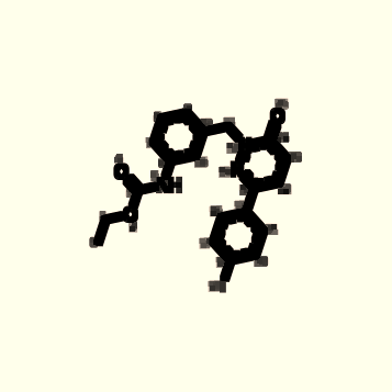 CCOC(=O)Nc1cccc(Cn2nc(-c3ccc(I)cc3)ccc2=O)c1